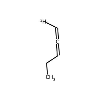 [2H]C=C=CCC